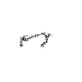 Cc1ncsc1-c1ccc(CNC(=O)C2C[C@@H](O)CN2C(=O)[C@@H](NC(=O)COCCOCCOCC(=O)NCCCCn2cnc(-c3cnc(OC4CCN(C(=O)Cc5ccc(OC(F)(F)F)cc5)CC4)c(C(N)=O)c3)c2)C(C)(C)C)cc1